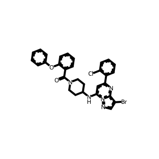 O=C(c1ccccc1Oc1ccccc1)N1CCC(Nc2cc(-c3ccccc3Cl)nc3c(Br)cnn23)CC1